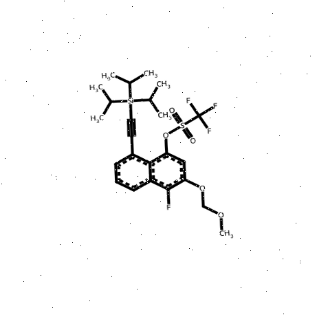 COCOc1cc(OS(=O)(=O)C(F)(F)F)c2c(C#C[Si](C(C)C)(C(C)C)C(C)C)cccc2c1F